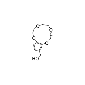 OCc1ccc2c(c1)OCCOCCOCCO2